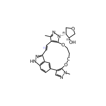 Cc1nn([C@@H]2COC[C@H]2O)c2c1/C=C/c1n[nH]c3ccc(cc13)-c1cnn(C)c1OCCCO2